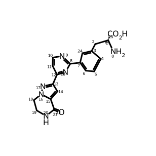 N[C@H](Cc1cccc(-c2nccc(-c3cc4n(n3)CCNC4=O)n2)c1)C(=O)O